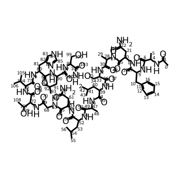 CC(=O)NC(C)C(=O)NC(Cc1ccccc1)C(=O)NC(CC(N)=O)C(=O)NC(C)C(=O)NC(CO)C(=O)NC(CC(C)C)C(=O)NC(C)C(=O)NC(CC(C)C)C(=O)NC(CC(N)=O)C(=O)NCC(=O)NC(C(=O)NC(C(=O)NC(Cc1c[nH]cn1)C(=O)NC(CC(C)C)C(=O)NC(CO)C(N)=O)C(C)C)C(C)O